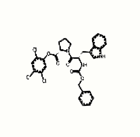 O=C(N[C@@H](Cc1c[nH]c2ccccc12)C(=O)N1CCC[C@H]1C(=O)Oc1cc(Cl)c(Cl)cc1Cl)OCc1ccccc1